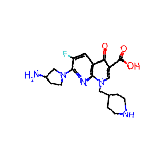 NC1CCN(c2nc3c(cc2F)c(=O)c(C(=O)O)cn3CC2CCNCC2)C1